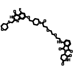 O=C1CCC(N2C(=O)c3cccc(NCCOCCOCCC(=O)N4CCC(COc5cc(F)c6c(=O)[nH]c(CSC7CCOCC7)nc6c5)CC4)c3C2=O)C(=O)N1